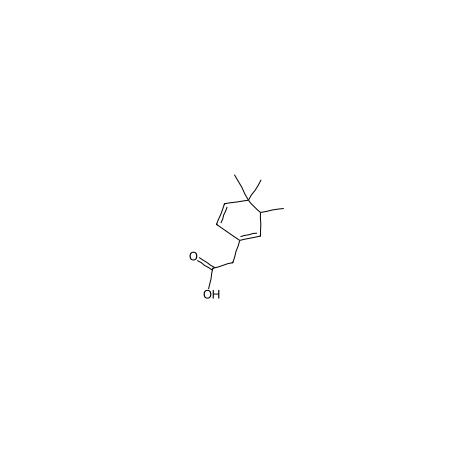 CC1C=C(CC(=O)O)C=CC1(C)C